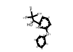 O[C@H](c1cccc(Oc2ccccc2)n1)C(F)(F)F